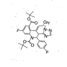 Cn1ncnc1C1C(=CCO)c2c(C(=O)OC(C)(C)C)cc(F)cc2N(C(=O)OC(C)(C)C)C1c1ccc(F)cc1